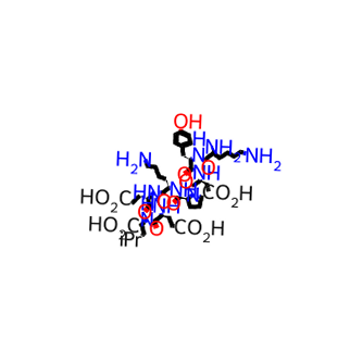 CC(C)C[C@H](NC(=O)[C@H](CCC(=O)O)NC(=O)[C@H](CCC(=O)O)NC(=O)[C@H](CCCCN)NC(=O)[C@@H]1CCCN1C(=O)[C@H](CC(=O)O)NC(=O)[C@H](Cc1ccc(O)cc1)NC(=O)[C@@H](N)CCCCN)C(=O)O